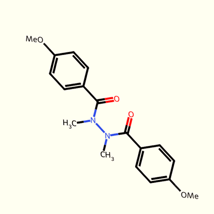 COc1ccc(C(=O)N(C)N(C)C(=O)c2ccc(OC)cc2)cc1